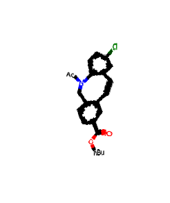 CCCCOC(=O)c1ccc2c(c1)/C=C\c1cc(Cl)ccc1N(C(C)=O)C2